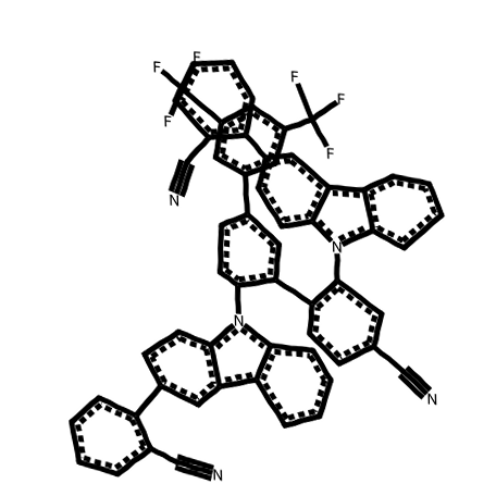 N#Cc1ccc(-c2cc(-c3cc(C(F)(F)F)cc(C(F)(F)F)c3)ccc2-n2c3ccccc3c3cc(-c4ccccc4C#N)ccc32)c(-n2c3ccccc3c3cc(-c4ccccc4C#N)ccc32)c1